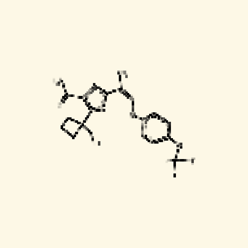 CC(=NOc1ccc(OC(F)(F)F)cc1)c1nc(C2(CO)CCC2)c(C(N)=O)s1